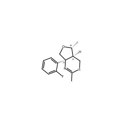 CC1=N[C@@]2(c3ccccc3F)CO[C@H](C)[C@H]2CS1